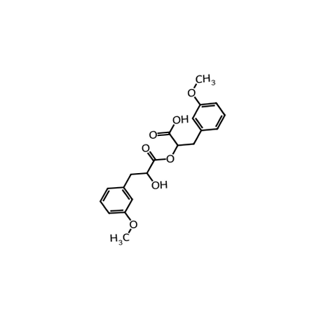 COc1cccc(CC(O)C(=O)OC(Cc2cccc(OC)c2)C(=O)O)c1